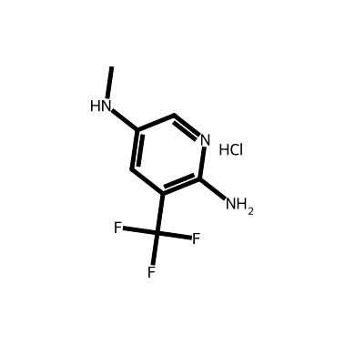 CNc1cnc(N)c(C(F)(F)F)c1.Cl